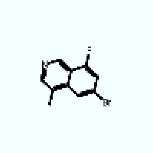 Cc1cncc2c(F)cc(Br)cc12